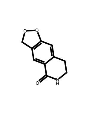 O=C1NCCc2cc3c(cc21)COO3